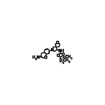 CC(C)(C)OC(=O)NC1CN(c2ccc3c(c2)OC[C@H](N)C3)CC12CCOC2